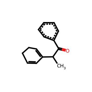 CC(C(=O)c1ccccc1)C1=CCCC=C1